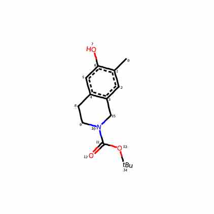 Cc1cc2c(cc1O)CCN(C(=O)OC(C)(C)C)C2